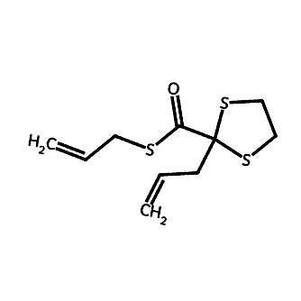 C=CCSC(=O)C1(CC=C)SCCS1